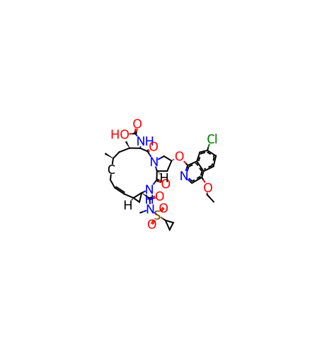 CCOc1cnc(O[C@@H]2C[C@H]3C(=O)N[C@]4(C(=O)N(C)S(=O)(=O)C5CC5)C[C@H]4/C=C\CC[C@@H](C)C[C@@H](C)[C@H](NC(=O)O)C(=O)N3C2)c2cc(Cl)ccc12